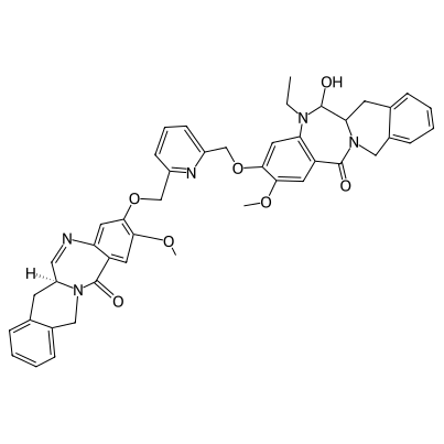 CCN1c2cc(OCc3cccc(COc4cc5c(cc4OC)C(=O)N4Cc6ccccc6C[C@H]4C=N5)n3)c(OC)cc2C(=O)N2Cc3ccccc3CC2C1O